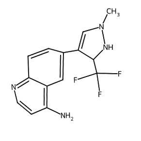 CN1C=C(c2ccc3nccc(N)c3c2)C(C(F)(F)F)N1